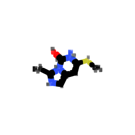 CSc1cc2cnc(C)n2c(=O)[nH]1